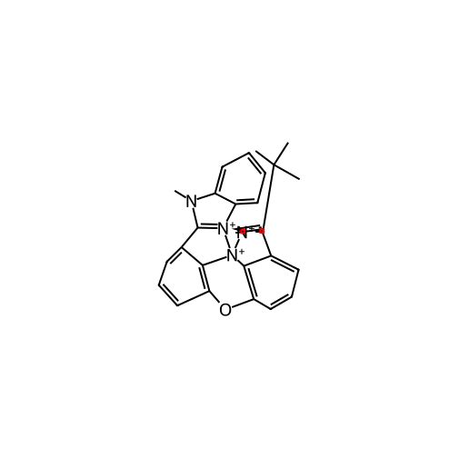 Cn1c2[n+](c3ccccc31)[N+]13c4c(cccc4-c4cc(C(C)(C)C)cc[n+]41)Oc1cccc-2c13